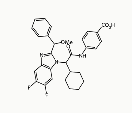 COC(c1ccccc1)c1nc2cc(F)c(F)cc2n1C(C(=O)Nc1ccc(C(=O)O)cc1)C1CCCCC1